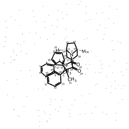 CN(Cc1ccccc1)C(=O)N1[C@@H]2CC[C@H]1CN(C(=O)C(C)(c1ccccc1)c1ccccc1)C2